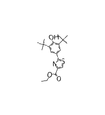 CCOC(=O)c1csc(-c2cc(C(C)(C)C)c(O)c(C(C)(C)C)c2)n1